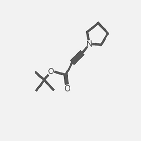 CC(C)(C)OC(=O)C#CN1CCCC1